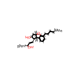 CCCCC[C@H](O)/C=C/[C@@H]1[C@H]2c3cccc(CCCCNC)c3O[C@H]2C[C@H]1O